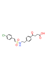 O=C(O)CCC(=O)c1ccc(CCNS(=O)(=O)C=Cc2ccc(Cl)cc2)cc1